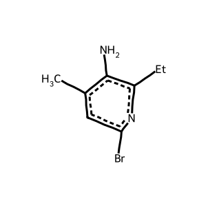 CCc1nc(Br)cc(C)c1N